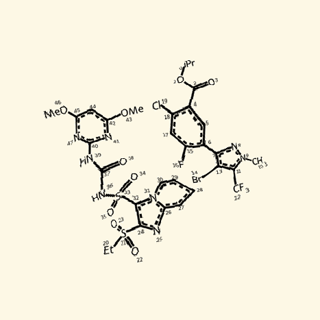 CC(C)OC(=O)c1cc(-c2nn(C)c(C(F)(F)F)c2Br)c(F)cc1Cl.CCS(=O)(=O)c1nc2ccccn2c1S(=O)(=O)NC(=O)Nc1nc(OC)cc(OC)n1